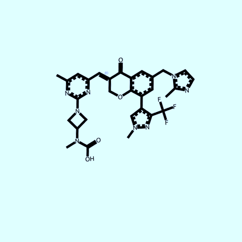 Cc1cc(/C=C2\COc3c(cc(Cn4ccnc4C)cc3-c3cn(C)nc3C(F)(F)F)C2=O)nc(N2CC(N(C)C(=O)O)C2)n1